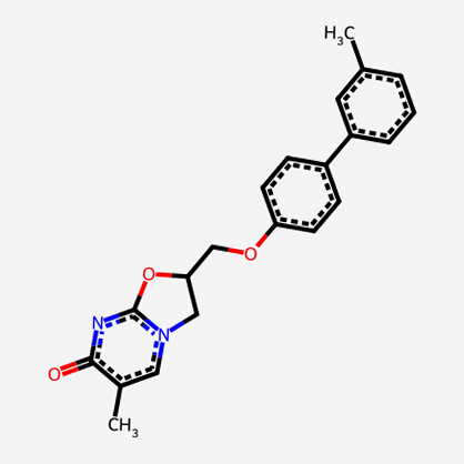 Cc1cccc(-c2ccc(OCC3Cn4cc(C)c(=O)nc4O3)cc2)c1